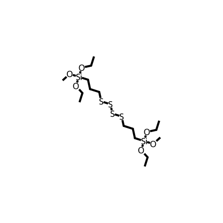 CCO[Si](CCCSSSSCCC[Si](OC)(OCC)OCC)(OC)OCC